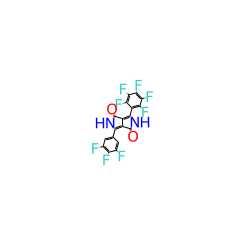 O=C1NC(c2c(F)c(F)c(F)c(F)c2F)=C2C(=O)NC(c3cc(F)c(F)c(F)c3)=C12